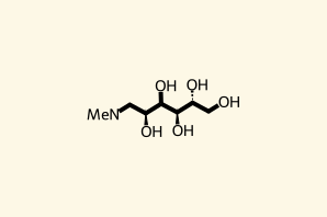 CNC[C@H](O)C(O)[C@H](O)[C@H](O)CO